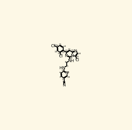 N#Cc1ccc(NCCNc2nc(-c3ccc(Cl)cc3Cl)cc3ncc(Cl)n23)nc1